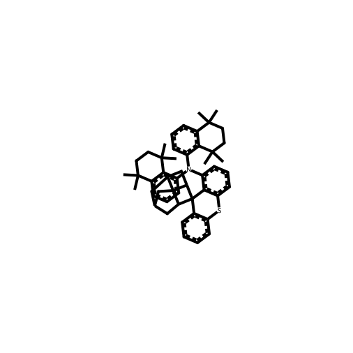 CC1(C)CCC(C)(C)c2c(N(c3cccc4c3C(C)(C)CCC4(C)C)c3cccc4c3C3(c5ccccc5S4)C4CC5CC6CC3C64C5)cccc21